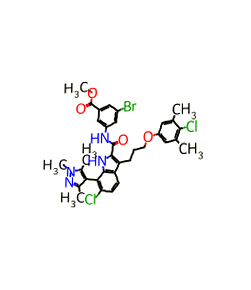 COC(=O)c1cc(Br)cc(NC(=O)c2[nH]c3c(-c4c(C)nn(C)c4C)c(Cl)ccc3c2CCCOc2cc(C)c(Cl)c(C)c2)c1